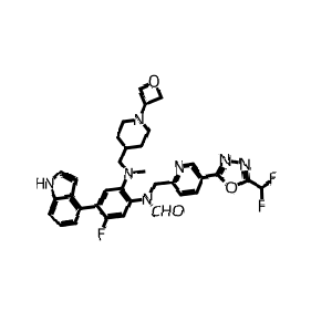 CN(CC1CCN(C2COC2)CC1)c1cc(-c2cccc3[nH]ccc23)c(F)cc1N(C=O)Cc1ccc(-c2nnc(C(F)F)o2)cn1